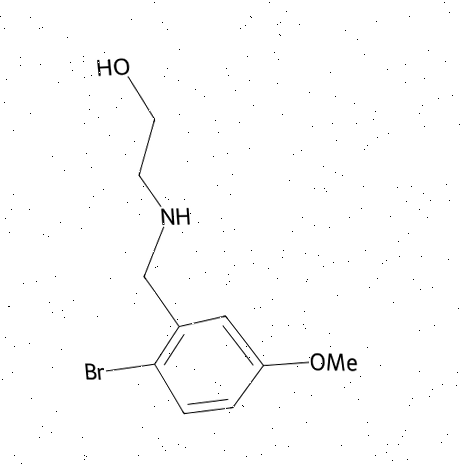 COc1ccc(Br)c(CNCCO)c1